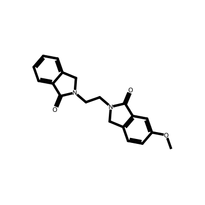 COc1ccc2c(c1)C(=O)N(CCN1Cc3ccccc3C1=O)C2